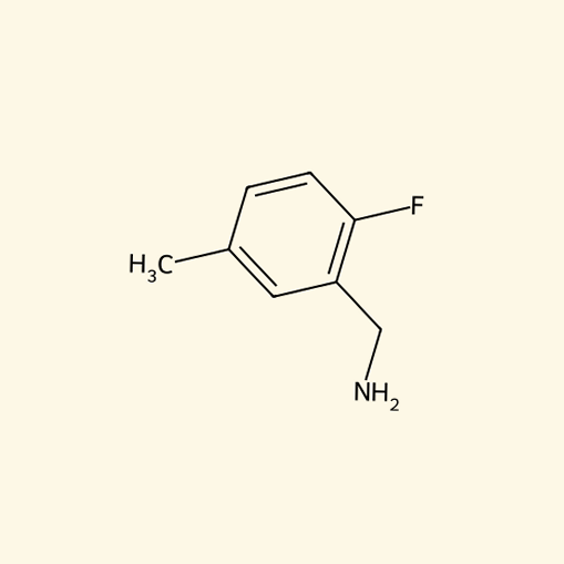 Cc1ccc(F)c(CN)c1